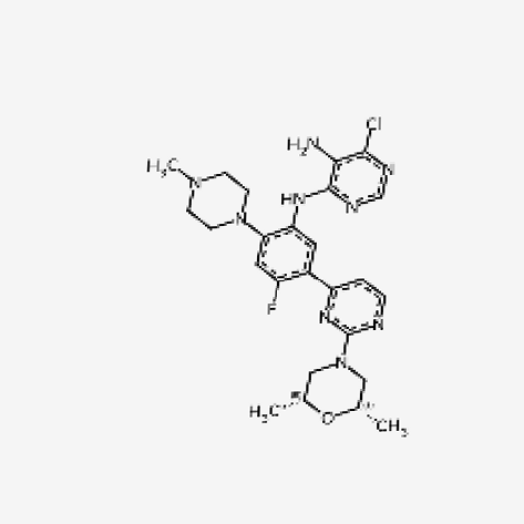 C[C@@H]1CN(c2nccc(-c3cc(Nc4ncnc(Cl)c4N)c(N4CCN(C)CC4)cc3F)n2)C[C@H](C)O1